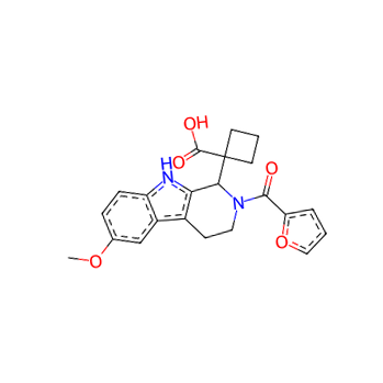 COc1ccc2[nH]c3c(c2c1)CCN(C(=O)c1ccco1)C3C1(C(=O)O)CCC1